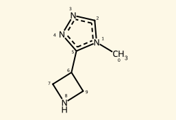 Cn1cnnc1C1CNC1